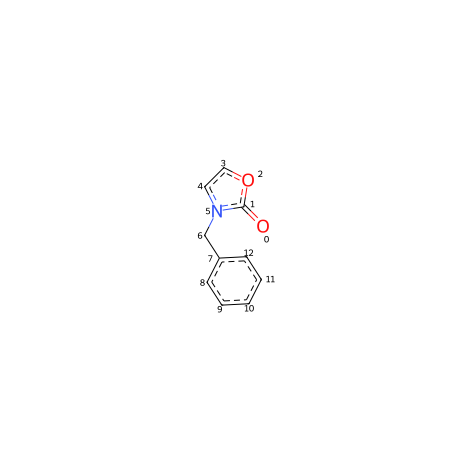 O=c1occn1Cc1ccccc1